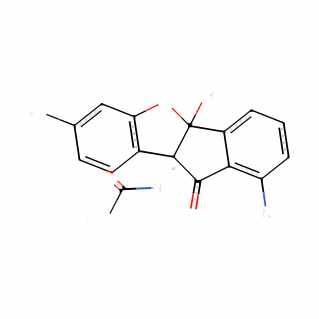 CCCCCCCC(=O)N[C@@]12C(=O)c3c(N)cccc3C1(O)Oc1cc(C(C)C)ccc12